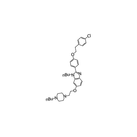 CCCCN1CCN(CCOc2ccc3nc(-c4ccc(OCCc5ccc(Cl)cc5)cc4)n(CCCC)c3c2)CC1